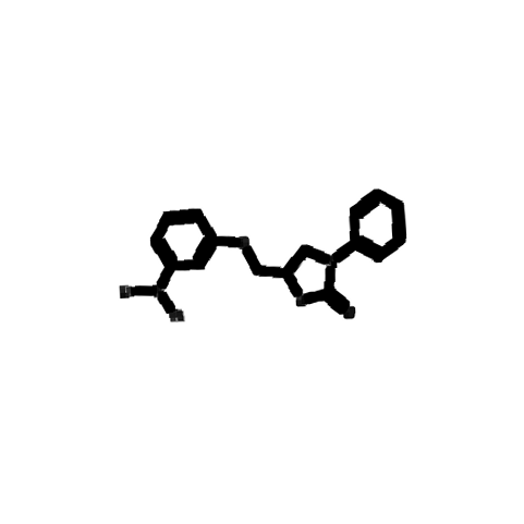 CCN(CC)c1cccc(OCC2CN(c3ccccc3)C(=O)O2)c1